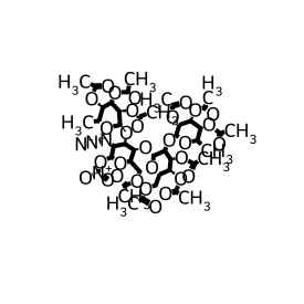 CC(=O)OCC1OC(O[N+](=O)[O-])C(N=[N+]=[N-])[C@@H](O[C@@H]2OC(C)[C@@H](OC(C)=O)C(OC(C)=O)[C@H]2OC(C)=O)[C@@H]1O[C@@H]1OC(COC(C)=O)[C@H](OC(C)=O)[C@H](OC(C)=O)C1O[C@@H]1OC(C)[C@@H](OC(C)=O)[C@H](OC(C)=O)C1OC(C)=O